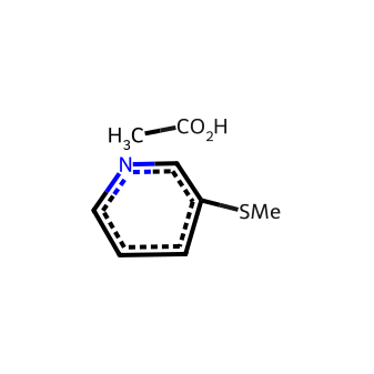 CC(=O)O.CSc1cccnc1